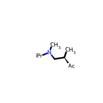 CC(=O)[C@H](C)CN(C)C(C)C